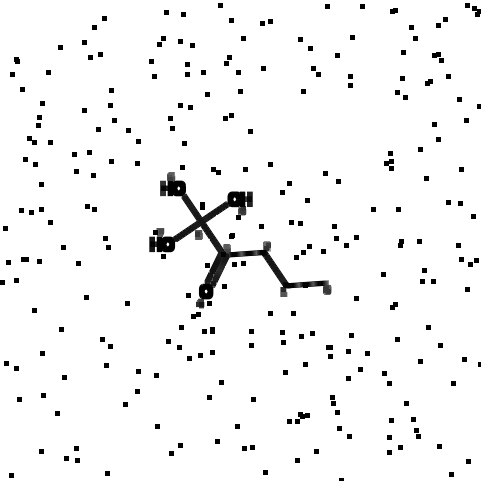 CCCC(=O)C(O)(O)O